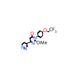 COc1nc(-c2ccnnc2)cc(=O)n1C1=CCC(OCC(F)(F)F)C=C1